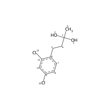 CC(O)(O)CCc1ccc(Cl)cc1Cl